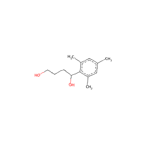 Cc1cc(C)c(C(O)CCCO)c(C)c1